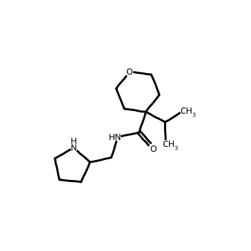 CC(C)C1(C(=O)NCC2CCCN2)CCOCC1